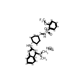 CN(C)c1nc(N[C@H]2CC[C@@H](CNS(=O)(=O)c3ccccc3OC(F)(F)F)CC2)nc2ccccc12.Cl.Cl